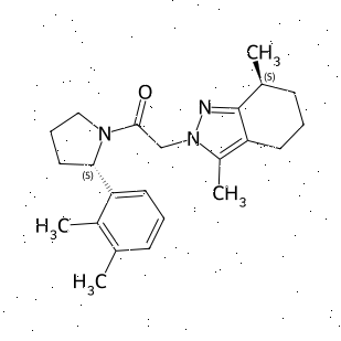 Cc1cccc([C@@H]2CCCN2C(=O)Cn2nc3c(c2C)CCC[C@@H]3C)c1C